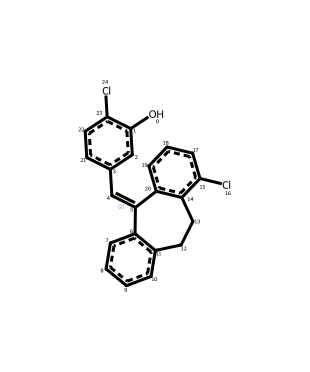 Oc1cc(/C=C2/c3ccccc3CCc3c(Cl)cccc32)ccc1Cl